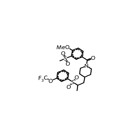 COc1ccc(C(=O)N2CCC(CC(C)S(=O)(=O)c3cccc(OC(F)(F)F)c3)CC2)cc1S(C)(=O)=O